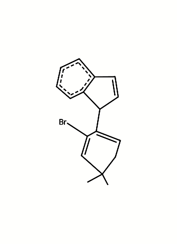 CC1(C)C=C(Br)C(C2C=Cc3ccccc32)=CC1